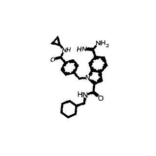 N=C(N)c1ccc2cc(C(=O)NCC3CCCCC3)n(Cc3ccc(C(=O)NC4CC4)cc3)c2c1